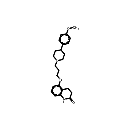 COc1ccc(C2CCN(CCCOc3cccc4c3CCC(=O)N4)CC2)cc1